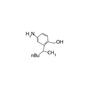 CCCCC(C)c1cc(N)ccc1CO